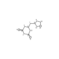 O=C1CC(=O)CC(CC2CCOC2)C1